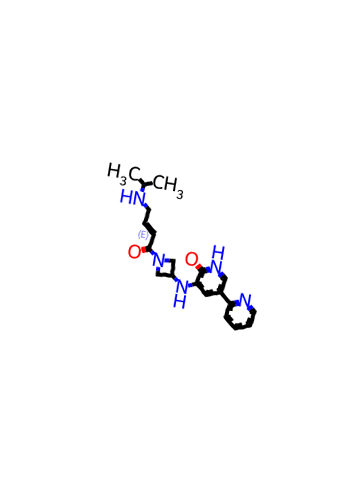 CC(C)NC/C=C/C(=O)N1CC(Nc2cc(-c3ccccn3)c[nH]c2=O)C1